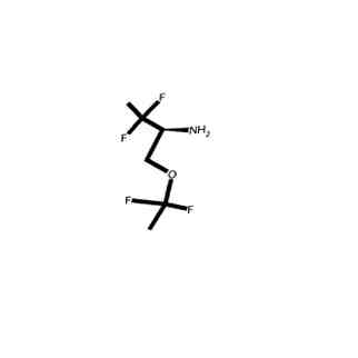 CC(F)(F)OC[C@H](N)C(C)(F)F